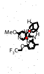 COc1cc(N2C[C@H]3CC[C@@H](C2)C3Nc2nc3c(C)ccc(OCC(F)(F)F)n3n2)ccn1